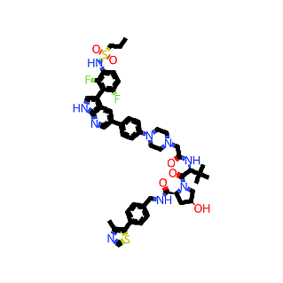 CCCS(=O)(=O)Nc1ccc(F)c(-c2c[nH]c3ncc(-c4ccc(N5CCN(CC(=O)N[C@H](C(=O)N6C[C@H](O)C[C@H]6C(=O)NCc6ccc(-c7scnc7C)cc6)C(C)(C)C)CC5)cc4)cc23)c1F